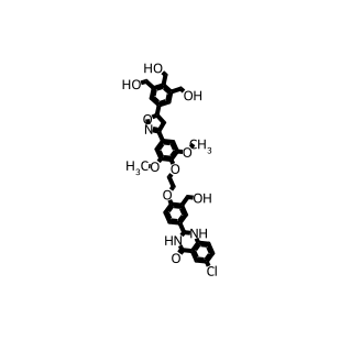 COc1cc(C2=NOC(c3cc(CO)c(CO)c(CO)c3)C2)cc(OC)c1OCCOc1ccc(C2NC(=O)c3cc(Cl)ccc3N2)cc1CO